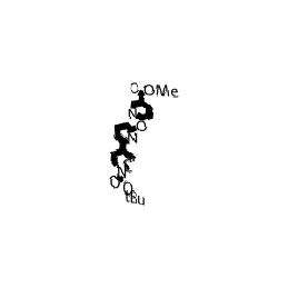 COC(=O)c1ccc(Oc2cccc(C3CCN(C(=O)OC(C)(C)C)CC3)n2)nc1